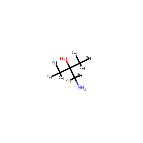 [2H]C([2H])([2H])C(O)(C([2H])([2H])[2H])C([2H])([2H])N